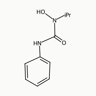 CC(C)N(O)C(=O)Nc1ccccc1